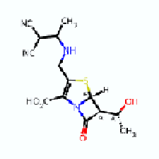 CC(NCC1=C(C(=O)O)N2C(=O)[C@H]([C@@H](C)O)[C@H]2S1)C(C#N)C#N